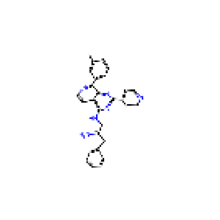 Cc1cccc(-c2nccc3c(NC[C@H](N)Cc4ccccc4)nc(-c4ccncc4)nc23)c1